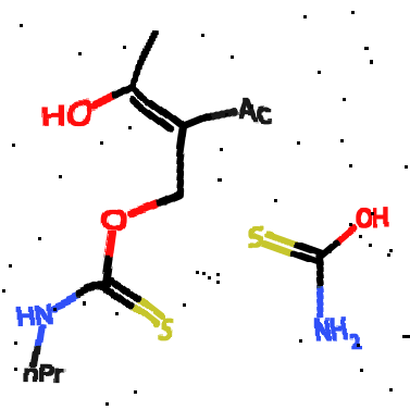 CCCNC(=S)OCC(C(C)=O)=C(C)O.NC(O)=S